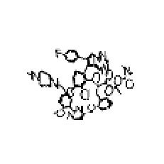 COc1ccccc1-c1nccc(COc2ccccc2CC(Oc2ncnn3cc(-c4ccc(F)cc4)c(-c4ccc(OCCN5CCN(C)CC5)c(Cl)c4C)c23)C(=O)OC(C)OC(=O)N(C)C)n1